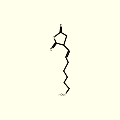 CCCCCCCCCCCCCC=CC1CC(=O)OC1=O